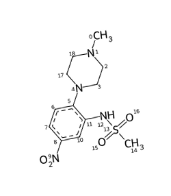 CN1CCN(c2ccc([N+](=O)[O-])cc2NS(C)(=O)=O)CC1